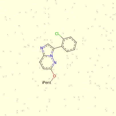 [CH2]CCC(C)Oc1ccc2ncc(-c3ccccc3Cl)n2n1